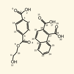 O=C(O)c1ccc(C(=O)OCCO)cc1.O=C(O)c1ccc2ccccc2c1C(=O)O